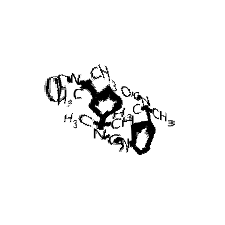 CC(C)(N=C=O)c1cccc(N=C=NC(C)(C)c2cccc(C(C)(C)N=C=O)c2)c1